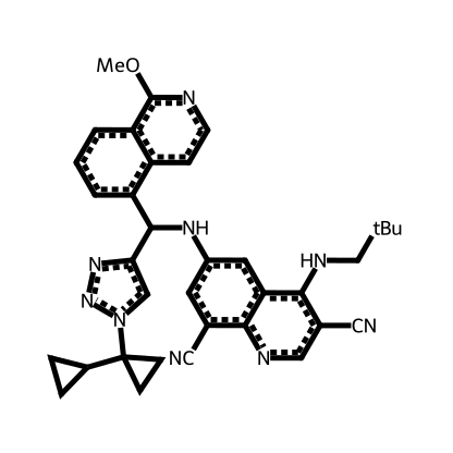 COc1nccc2c(C(Nc3cc(C#N)c4ncc(C#N)c(NCC(C)(C)C)c4c3)c3cn(C4(C5CC5)CC4)nn3)cccc12